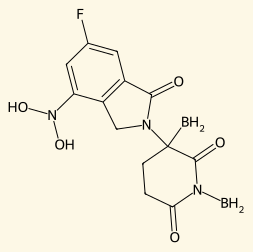 BN1C(=O)CCC(B)(N2Cc3c(cc(F)cc3N(O)O)C2=O)C1=O